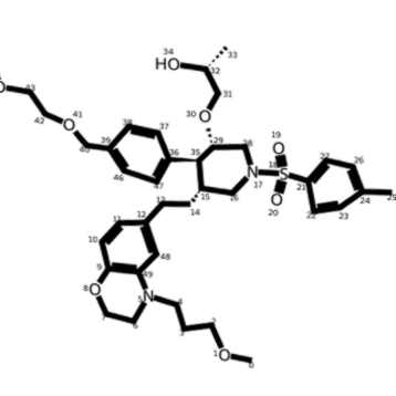 COCCCN1CCOc2ccc(CC[C@H]3CN(S(=O)(=O)c4ccc(C)cc4)C[C@@H](OC[C@@H](C)O)[C@@H]3c3ccc(COCCOC)cc3)cc21